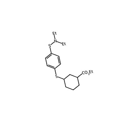 CCOC(=O)C1CCCC(Sc2ccc(SN(CC)CC)cc2)C1